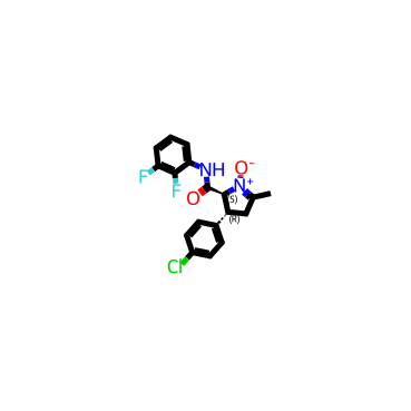 CC1=[N+]([O-])[C@H](C(=O)Nc2cccc(F)c2F)[C@@H](c2ccc(Cl)cc2)C1